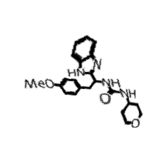 COc1ccc(CC(NC(=O)NC2CCOCC2)c2nc3ccccc3[nH]2)cc1